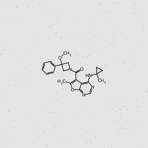 COC1(c2ccccc2)CN(C(=O)c2c(C)oc3ncnc(NC4(C)CC4)c23)C1